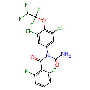 NC(=O)N(C(=O)c1c(F)cccc1F)c1cc(Cl)c(OC(F)(F)C(F)F)c(Cl)c1